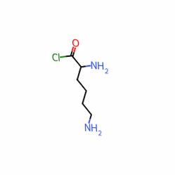 NCCCCC(N)C(=O)Cl